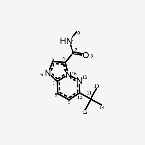 CNC(=O)c1cnc2ccc(C(C)(C)C)nn12